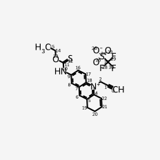 C#CC[n+]1c2c(cc3cc(NC(=S)OCC)ccc31)CCC=C2.O=S(=O)([O-])C(F)(F)F